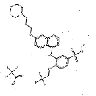 CNS(=O)(=O)c1ccc(OCC(F)(F)F)c(Nc2ncnc3cc(OCCCN4CCOCC4)ccc23)c1.O=C(O)C(F)(F)F